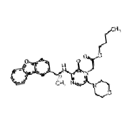 CCCCOC(=O)Cn1c(N2CCOCC2)cnc(N[C@H](C)c2ccc3oc4ccccc4c3c2)c1=O